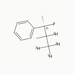 [2H]C([2H])([2H])C([2H])(C)[C@](C)(F)c1ccccc1